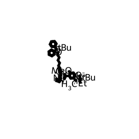 CCN([C@H](C)c1cc(-c2cn3ccnc3c(OCCCCCCO[Si](c3ccccc3)(c3ccccc3)C(C)(C)C)n2)c(OC)cn1)[S+]([O-])C(C)(C)C